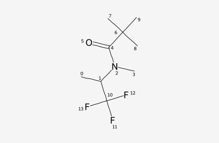 CC(N(C)C(=O)C(C)(C)C)C(F)(F)F